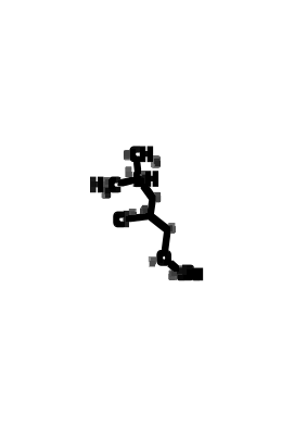 C[SiH](C)CC(Cl)COC(C)(C)C